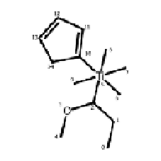 CC[CH](OC)[Ti]([CH3])([CH3])([CH3])([CH3])[C]1=CC=CC1